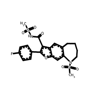 CS(=O)(=O)NC(=O)c1c(-c2ccc(F)cc2)oc2cc3c(cc12)CCCCN3S(C)(=O)=O